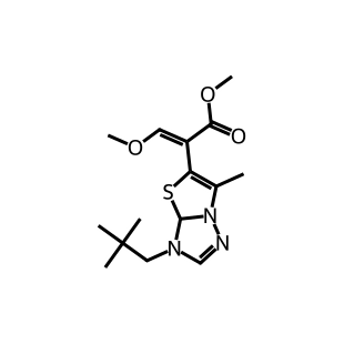 CO/C=C(/C(=O)OC)C1=C(C)N2N=CN(CC(C)(C)C)C2S1